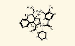 COC[C@@H]1Nc2ccccc2[C@H]2[C@H]1CCN2C(=O)[C@H]1CCCC[C@H]1NC(=O)c1ccc(C#N)c(OC)c1